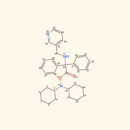 O=C(ON(C1CCCCC1)C1CCCCC1)C(NCc1cccnc1)(c1ccccc1)c1ccccc1